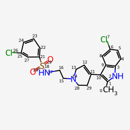 Cc1[nH]c2ccc(Cl)cc2c1C1=CCN(CCNS(=O)(=O)c2cccc(Cl)c2)CC1